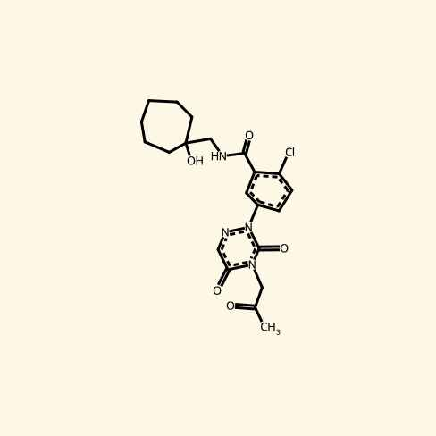 CC(=O)Cn1c(=O)cnn(-c2ccc(Cl)c(C(=O)NCC3(O)CCCCCC3)c2)c1=O